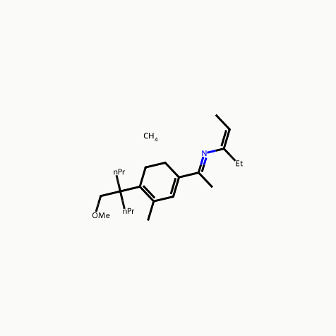 C.C/C=C(CC)\N=C(/C)C1=CC(C)=C(C(CCC)(CCC)COC)CC1